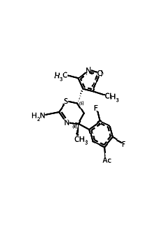 CC(=O)c1cc([C@@]2(C)C[C@@H](c3c(C)noc3C)SC(N)=N2)c(F)cc1F